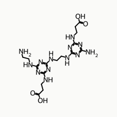 NCCNc1nc(NCCNc2nc(N)nc(NCCC(=O)O)n2)nc(NCCC(=O)O)n1